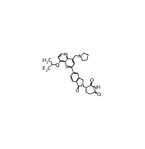 CC(Oc1ccnc2c(CN3CCCC3)cc(-c3ccc4c(c3)CN(C3CCC(=O)NC3=O)C4=O)nc12)C(F)(F)F